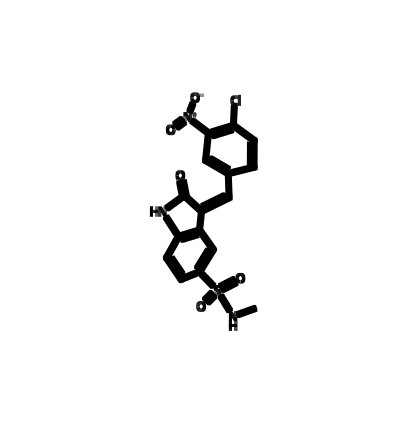 CNS(=O)(=O)c1ccc2c(c1)C(=Cc1ccc(Cl)c([N+](=O)[O-])c1)C(=O)N2